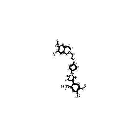 COc1cc(N)c(-c2nnn(-c3ccc(SCCN4CCc5cc(OC)c(OC)cc5C4)cc3)n2)cc1OC